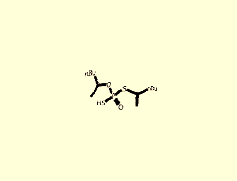 CCCCC(C)OP(=O)(S)SC(C)CCCC